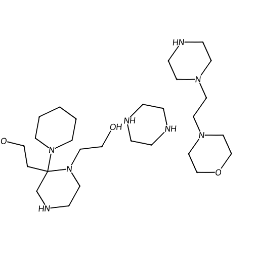 C1CN(CCN2CCOCC2)CCN1.C1CNCCN1.OCCN1CCNCC1(CCO)N1CCCCC1